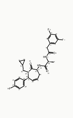 C[C@H](NC(=O)Cc1cc(F)cc(F)c1)C(=O)N[C@H]1CC=C[C@@H](c2ccc(F)cc2)N(CC2CC2)C1=O